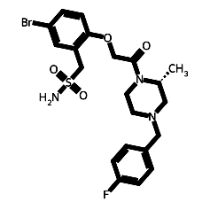 C[C@@H]1CN(Cc2ccc(F)cc2)CCN1C(=O)COc1ccc(Br)cc1CS(N)(=O)=O